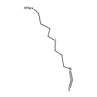 CCCCCCCCCCSCCCN=C=S